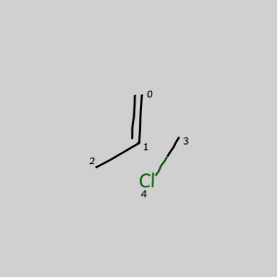 C=CC.CCl